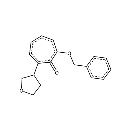 O=c1c(OCc2ccccc2)ccccc1C1CCOC1